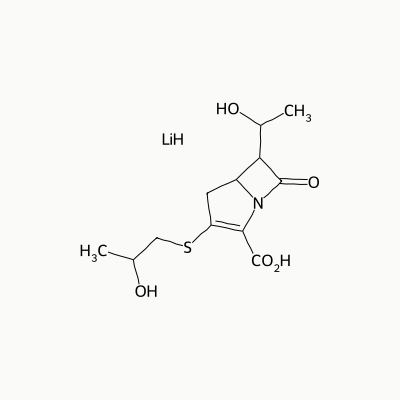 CC(O)CSC1=C(C(=O)O)N2C(=O)C(C(C)O)C2C1.[LiH]